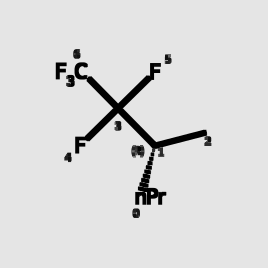 CCC[C@@H](C)C(F)(F)C(F)(F)F